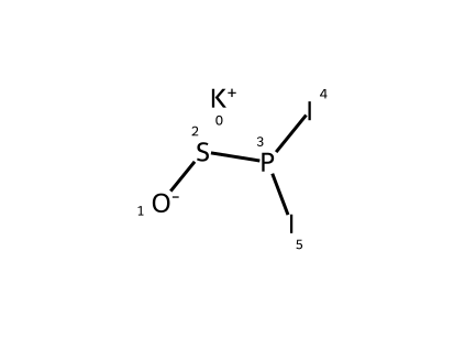 [K+].[O-]SP(I)I